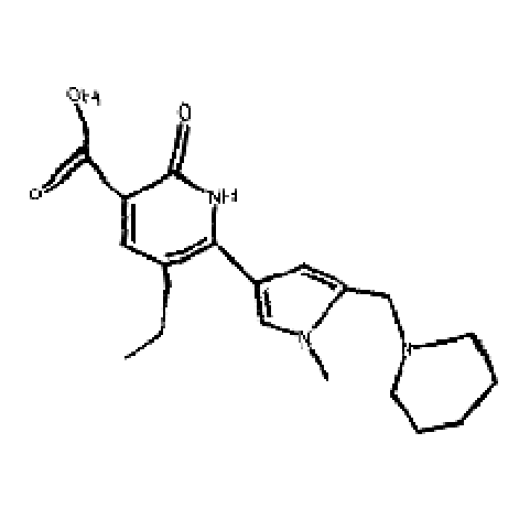 CCc1cc(C(=O)O)c(=O)[nH]c1-c1cc(CN2CCCCC2)n(C)c1